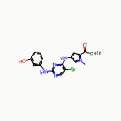 COC(=O)c1cc(Nc2nc(Nc3cccc(O)c3)ncc2Br)cn1C